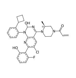 C=CC(=O)N1CCN(C2=NC(O)N(c3ccccc3C3CCC3)c3nc(-c4c(O)cccc4F)c(Cl)cc32)[C@@H](C)C1